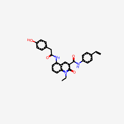 C=Cc1ccc(NC(=O)c2cc3c(NC(=O)Cc4ccc(O)cc4)cccc3n(CC)c2=O)cc1